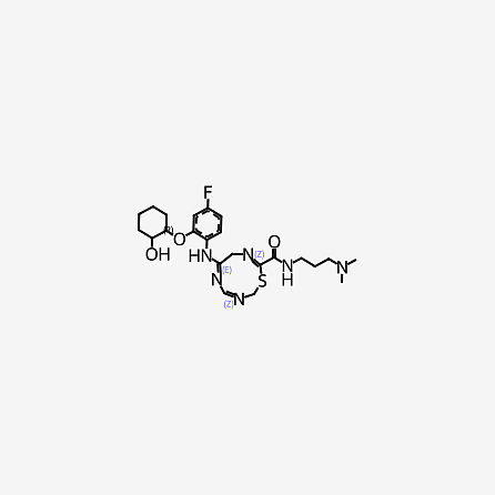 CN(C)CCCNC(=O)/C1=N/C/C(Nc2ccc(F)cc2O[C@@H]2CCCCC2O)=N\C=N/CS1